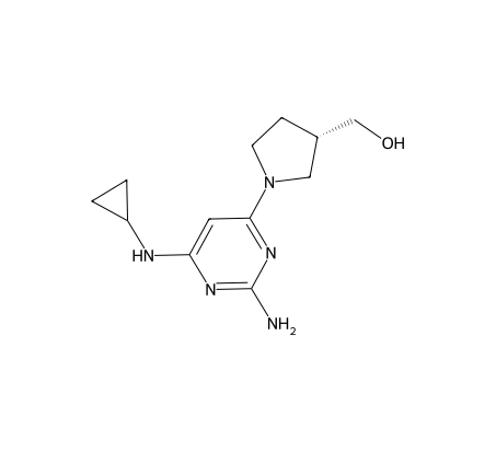 Nc1nc(NC2CC2)cc(N2CC[C@H](CO)C2)n1